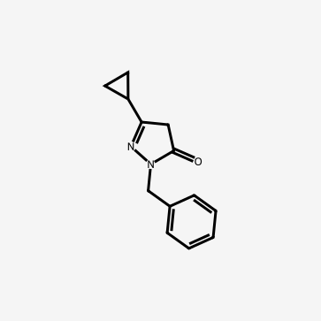 O=C1CC(C2CC2)=NN1Cc1ccccc1